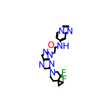 O=C(Cn1ncc2ncc(N3CCC4(CC4)C(F)(F)C3)nc21)Nc1ccn2ccnc2c1